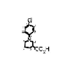 O=C(O)C1CCCN(c2ccc(Cl)cc2)C1